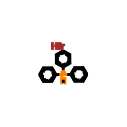 Br.C[PH](c1ccccc1)(c1ccccc1)c1ccccc1